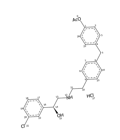 CC(=O)Oc1ccc(Cc2ccc(CCNC[C@@H](O)c3cccc(Cl)c3)cc2)cc1.Cl